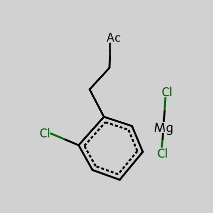 CC(=O)CCc1ccccc1Cl.[Cl][Mg][Cl]